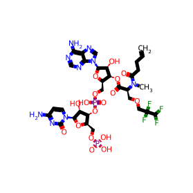 C=CCCC(=O)N(C)[C@@H](COCC(F)(F)C(F)F)C(=O)O[C@H]1[C@@H](O)[C@H](n2cnc3c(N)ncnc32)O[C@@H]1COP(=O)(O)O[C@H]1[C@@H](O)[C@H](n2ccc(N)nc2=O)O[C@@H]1COP(=O)(O)O